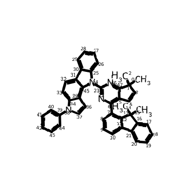 CC1(C)C=Cc2c(-c3cccc4c3C(C)(C)c3ccccc3-4)nc(-n3c4ccccc4c4ccc5c(ccn5-c5ccccc5)c43)nc21